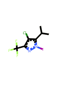 CC(C)c1c(Cl)c(C(F)(F)F)nn1I